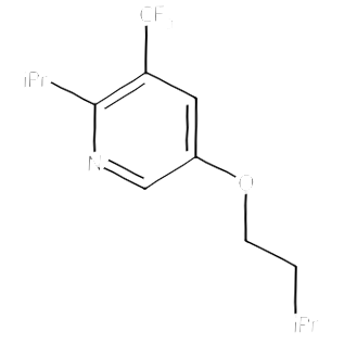 CC(C)CCOc1cnc(C(C)C)c(C(F)(F)F)c1